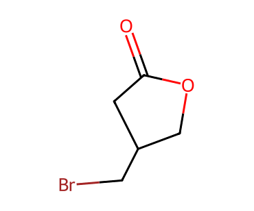 O=C1CC(CBr)CO1